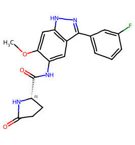 COc1cc2[nH]nc(-c3cccc(F)c3)c2cc1NC(=O)[C@@H]1CCC(=O)N1